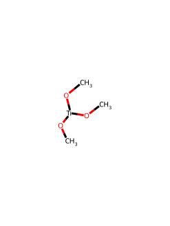 C[O][Ti]([O]C)[O]C